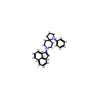 C1=C(N2CCC3(CCCN3c3ccccc3)CC2)c2cccc3cccc1c23